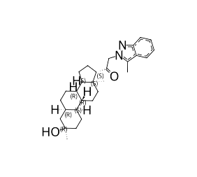 Cc1c2ccccc2nn1CC(=O)[C@H]1CC[C@H]2[C@@H]3CC[C@@H]4C[C@](C)(O)CC[C@@H]4[C@H]3CC[C@]12C